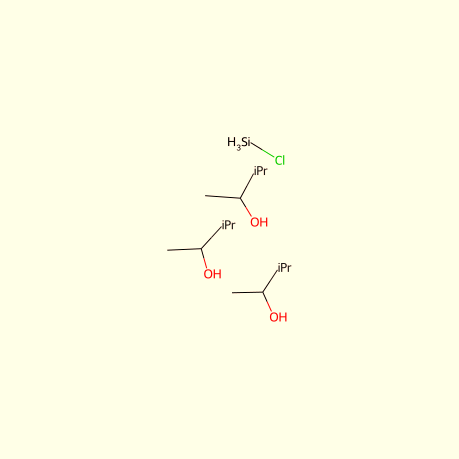 CC(C)C(C)O.CC(C)C(C)O.CC(C)C(C)O.[SiH3]Cl